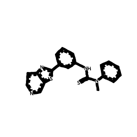 CN(C(=S)Nc1cccc(-c2nc3ccncc3s2)c1)c1ccccc1